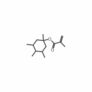 C=C(C)C(=O)OC1(C)CC(C)C(C)C(C)C1